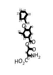 Cc1cc(C(=O)OC(=O)C[C@H](N)C(=O)O)cc(C)c1OCc1ccccc1